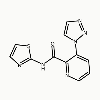 O=C(Nc1nccs1)c1ncccc1-n1ccnn1